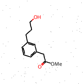 COC(=O)Cc1cccc(CCCO)c1